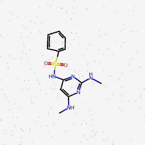 CNc1cc(NS(=O)(=O)c2ccccc2)nc(NC)n1